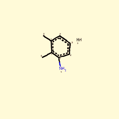 Cc1cccc(N)c1C.[HH]